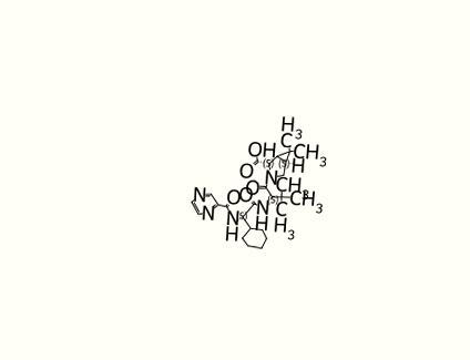 CC(C)(C)[C@H](NC(=O)[C@@H](NC(=O)c1cnccn1)C1CCCCC1)C(=O)N1C[C@H]2C([C@H]1C(=O)O)C2(C)C